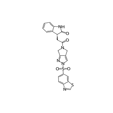 O=C1Nc2ccccc2[C@@H]1CC(=O)N1Cc2cn(S(=O)(=O)c3ccc4ncsc4c3)nc2C1